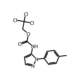 Cc1ccc(-n2nccc2NC(=O)OCC(Cl)(Cl)Cl)cc1